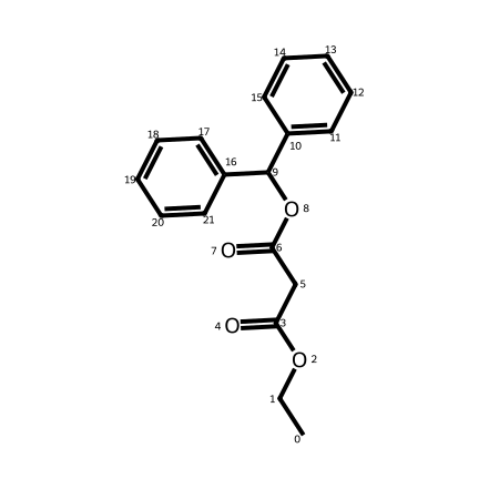 CCOC(=O)CC(=O)OC(c1ccccc1)c1ccccc1